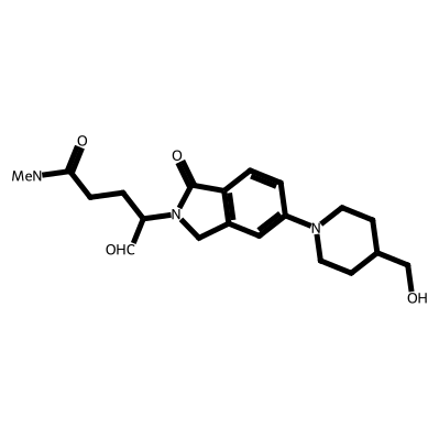 CNC(=O)CCC(C=O)N1Cc2cc(N3CCC(CO)CC3)ccc2C1=O